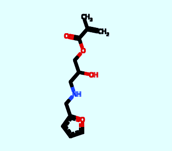 C=C(C)C(=O)OCC(O)CNCc1ccco1